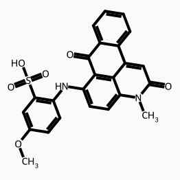 COc1ccc(Nc2ccc3c4c(cc(=O)n3C)-c3ccccc3C(=O)c24)c(S(=O)(=O)O)c1